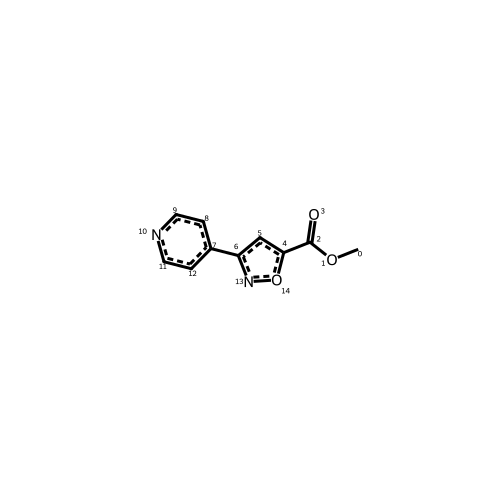 COC(=O)c1cc(-c2ccncc2)no1